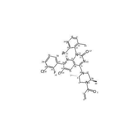 C=CC(=O)N1C[C@H](C)N(c2nc(=O)n(-c3c(C)ccnc3C(C)C)c3nc(-c4cccc(Cl)c4F)c(Cl)cc23)C[C@H]1C